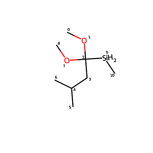 COC(CC(C)C)(OC)[SiH2]C